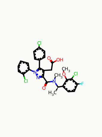 COc1c([C@@H](C)N(C)C(=O)c2nn(-c3ccccc3Cl)c(-c3ccc(Cl)cc3)c2CC(=O)O)ccc(F)c1Cl